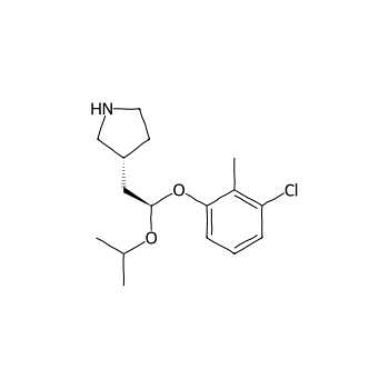 Cc1c(Cl)cccc1O[C@H](C[C@H]1CCNC1)OC(C)C